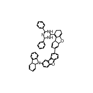 C1=CC2c3ccccc3N(c3ccc4oc5ccc(C6=CC7OC8=CCCC(C9NC(c%10ccccc%10)=NC(c%10ccccc%10)N9)=C8C7C=C6)cc5c4c3)C2C=C1